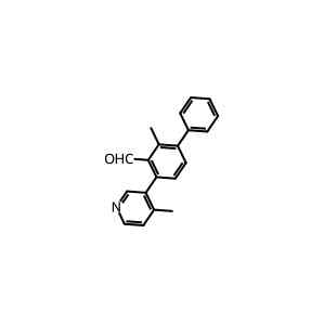 Cc1ccncc1-c1ccc(-c2ccccc2)c(C)c1C=O